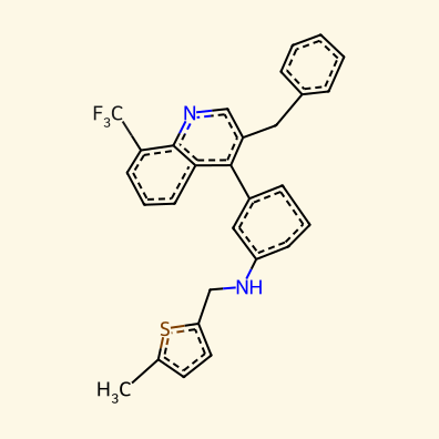 Cc1ccc(CNc2cccc(-c3c(Cc4ccccc4)cnc4c(C(F)(F)F)cccc34)c2)s1